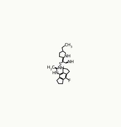 C=C(NS/C(C=N)=C1\CCC(CC)CN1)Nc1c2c(c(F)c3c1CCC3)CCC2